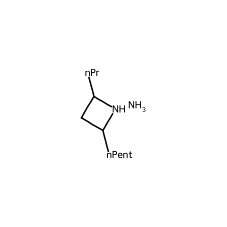 CCCCCC1CC(CCC)N1.N